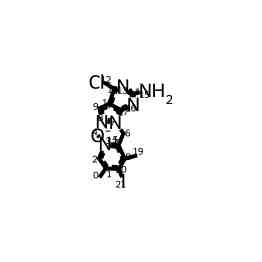 Cc1c[n+]([O-])c(Cn2ncc3c(Cl)nc(N)nc32)c(C)c1I